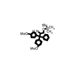 COc1ccc(C(c2ccccc2)(c2ccc(OC)cc2)C(N)CO[Si](C)(C)C(C)(C)C)cc1